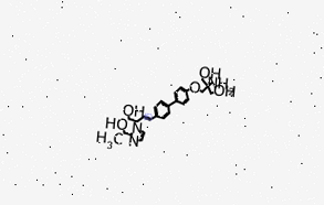 CC(O)c1nccn1C(/C=C/c1ccc(-c2ccc(OCC(N)(CO)CO)cc2)cc1)CO